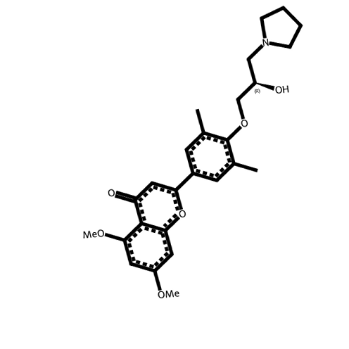 COc1cc(OC)c2c(=O)cc(-c3cc(C)c(OC[C@H](O)CN4CCCC4)c(C)c3)oc2c1